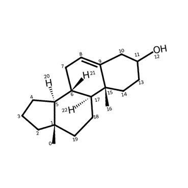 C[C@@]12CCC[C@H]1[C@@H]1CC=C3CC(O)CC[C@]3(C)[C@H]1CC2